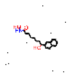 O=C(/C=C/CCCCC(O)c1ccc2ccccc2c1)NO